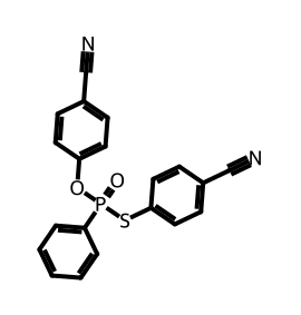 N#Cc1ccc(OP(=O)(Sc2ccc(C#N)cc2)c2ccccc2)cc1